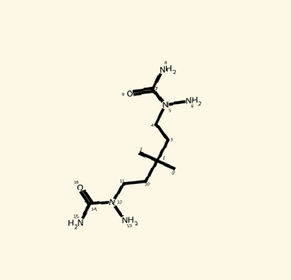 CC(C)(CCN(N)C(N)=O)CCN(N)C(N)=O